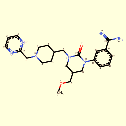 COCC1CN(CC2CCN(Cc3ncccn3)CC2)C(=O)N(c2cccc(C(=N)N)c2)C1